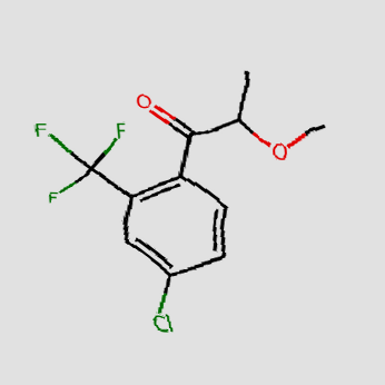 COC(C)C(=O)c1ccc(Cl)cc1C(F)(F)F